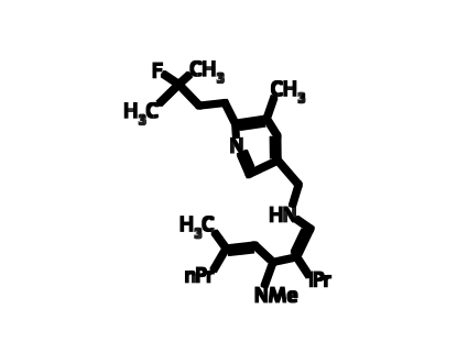 CCC/C(C)=C\C(NC)/C(=C\NCc1cnc(CCC(C)(C)F)c(C)c1)C(C)C